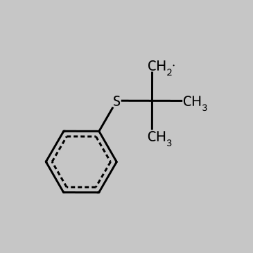 [CH2]C(C)(C)Sc1ccccc1